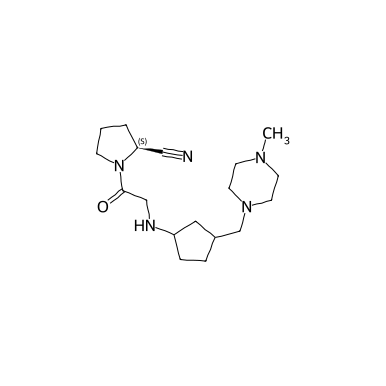 CN1CCN(CC2CCC(NCC(=O)N3CCC[C@H]3C#N)C2)CC1